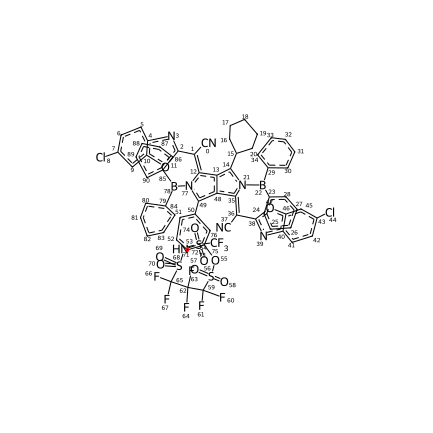 N#C/C(c1nc2ccc(Cl)cc2o1)=c1\c2c(C3CCCCC3)n(B(c3ccccc3)c3ccccc3)/c(=C(/C#N)c3nc4ccc(Cl)cc4o3)c2c(-c2cccc(OS(=O)(=O)C(F)(F)C(F)(F)C(F)(F)S(=O)(=O)NS(=O)(=O)C(F)(F)F)c2)n1B(c1ccccc1)c1ccccc1